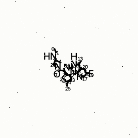 CCNC1CN(C(=O)c2nc(NC(C)c3cncc(F)c3)nc3cc(C)sc23)C1